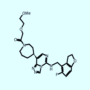 COCCOCC(=O)N1CCC[C@H](c2cnc(NCc3c(F)ccc4c3CCO4)n3cnnc23)CC1